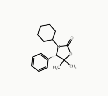 CC1(C)OC(=O)N(C2CCCCC2)[C@H]1c1ccccc1